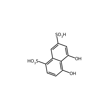 O=S(=O)(O)c1cc(O)c2c(O)ccc(S(=O)(=O)O)c2c1